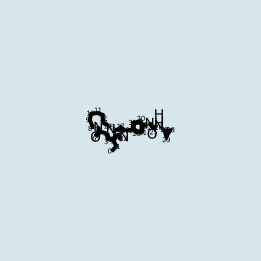 CCc1cc(C(=O)N2CCCCCC2C)nc2cc(-c3ccc(NC(=O)NC4CC4)cc3)nn12